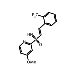 COc1ccnc(S(=N)(=O)/C=C/c2ccccc2C(F)(F)F)c1